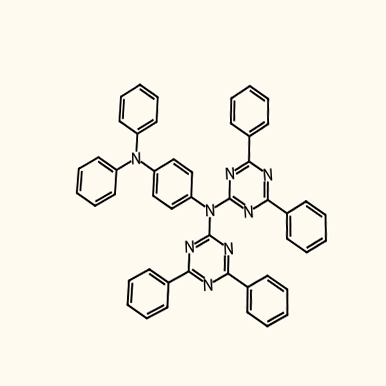 c1ccc(-c2nc(-c3ccccc3)nc(N(c3ccc(N(c4ccccc4)c4ccccc4)cc3)c3nc(-c4ccccc4)nc(-c4ccccc4)n3)n2)cc1